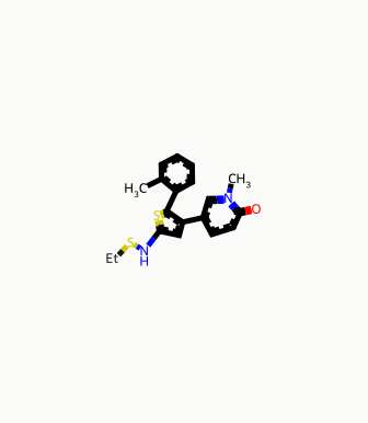 CCSNc1cc(-c2ccc(=O)n(C)c2)c(-c2ccccc2C)s1